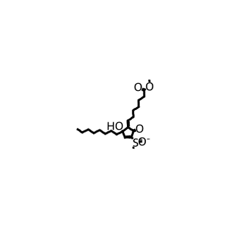 CCCCCCCCC1(O)C=C([S+](C)[O-])C(=O)C1=CCCCCCC(=O)OC